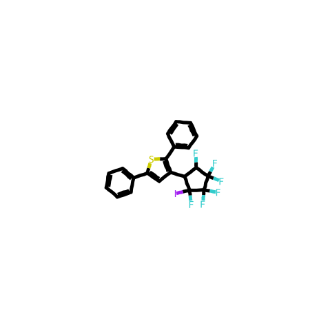 FC1C(c2cc(-c3ccccc3)sc2-c2ccccc2)C(F)(I)C(F)(F)C1(F)F